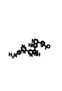 CC(=O)c1ccc(-c2ccnc3[nH]c(-c4n[nH]c5ncc(-c6cncc(N7CC(N)C7)n6)cc45)cc23)s1